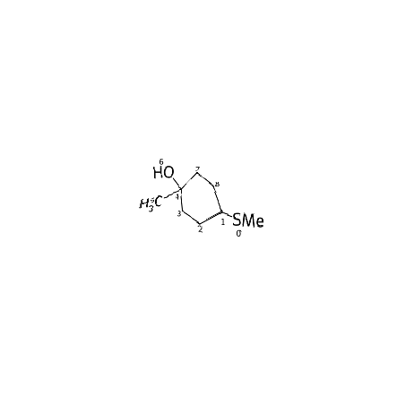 CSC1CCC(C)(O)CC1